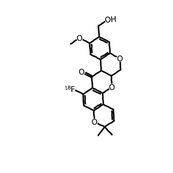 COc1cc2c(cc1CO)OCC1Oc3c4c(cc([18F])c3C(=O)C21)OC(C)(C)C=C4